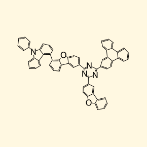 c1ccc(-n2c3ccccc3c3c(-c4cccc5c4oc4ccc(-c6nc(-c7ccc8oc9ccccc9c8c7)nc(-c7ccc8c9ccccc9c9ccccc9c8c7)n6)cc45)cccc32)cc1